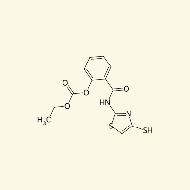 CCOC(=O)Oc1ccccc1C(=O)Nc1nc(S)cs1